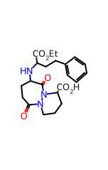 CCOC(=O)C(CCc1ccccc1)NC1CCC(=O)N2CCCC(C(=O)O)N2C1=O